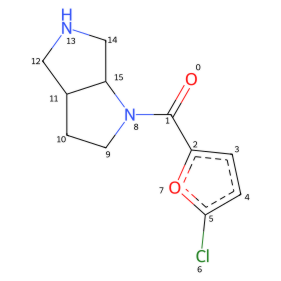 O=C(c1ccc(Cl)o1)N1CCC2CNCC21